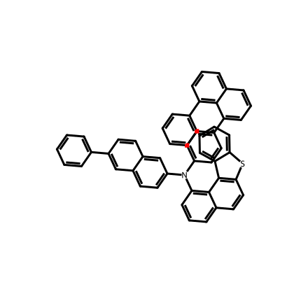 c1ccc(-c2ccc3cc(N(c4ccc(-c5cccc6cccc(-c7ccccc7)c56)cc4)c4cccc5ccc6sc7ccccc7c6c45)ccc3c2)cc1